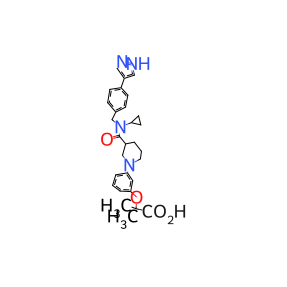 CC(C)(Oc1cccc(N2CCCC(C(=O)N(Cc3ccc(-c4cn[nH]c4)cc3)C3CC3)C2)c1)C(=O)O